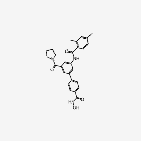 Cc1ccc(C(=O)Nc2cc(C(=O)N3CCCC3)cc(-c3ccc(C(=O)NO)cc3)c2)c(C)c1